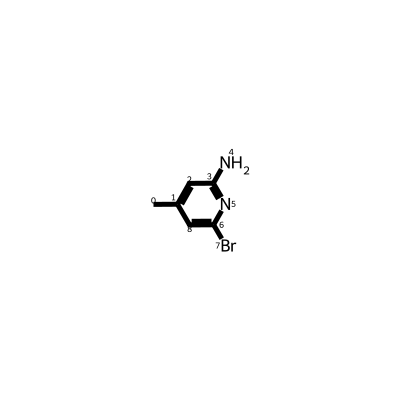 Cc1cc(N)nc(Br)c1